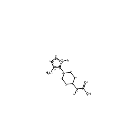 CN(C(=O)O)C1CCN(c2c(N)cnn2C)CC1